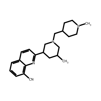 CC1CC(c2ccc3cccc(C#N)c3n2)CN(CC2CCN(C)CC2)C1